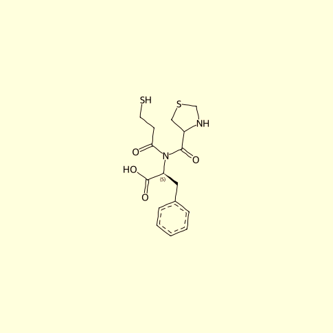 O=C(O)[C@H](Cc1ccccc1)N(C(=O)CCS)C(=O)C1CSCN1